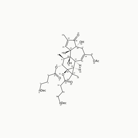 CCCCCCCCCCCCCC(=O)O[C@@H]1[C@@H](C)[C@@]2(O)[C@@H](C=C(COC(C)=O)C[C@]3(O)C(=O)C(C)=C[C@@H]23)[C@H]2C(C)(C)[C@]12OC(=O)CCCCCCCCCCCCC